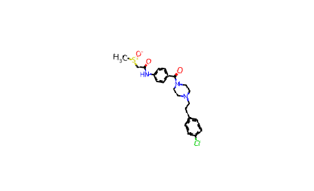 C[S+]([O-])CC(=O)Nc1ccc(C(=O)N2CCN(CCc3ccc(Cl)cc3)CC2)cc1